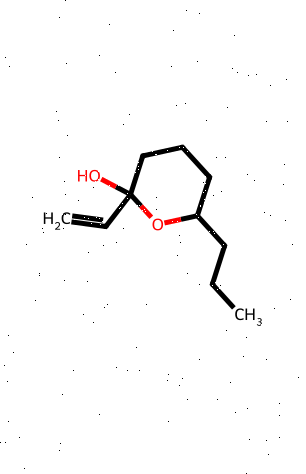 C=CC1(O)CCCC(CCC)O1